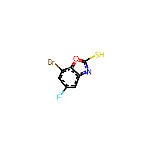 Fc1cc(Br)c2oc(S)nc2c1